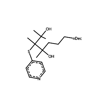 CCCCCCCCCCCCCC(C)(O)C(C)(Sc1ccncc1)C(C)(C)O